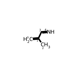 C=C(C)[C]=N